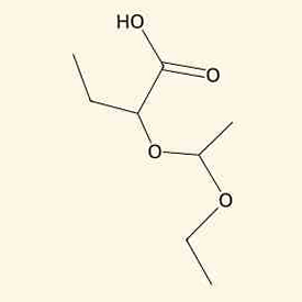 CCOC(C)OC(CC)C(=O)O